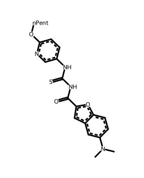 CCCCCOc1ccc(NC(=S)NC(=O)c2cc3cc(N(C)C)ccc3o2)cn1